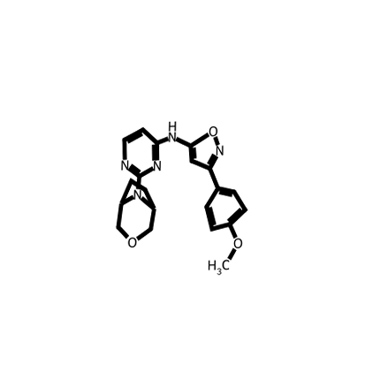 COc1ccc(-c2cc(Nc3ccnc(N4C5CCC4COC5)n3)on2)cc1